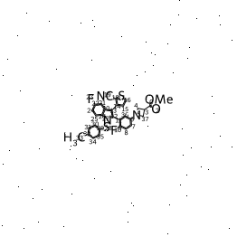 COC(=O)C1CN(c2ccc(F)c(-c3c(-c4ccsc4C#N)c4cc(F)ccc4n3Sc3ccc(C)cc3)c2)C1